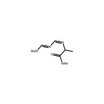 CN/C=N/C=N\C(C)C(=O)NC